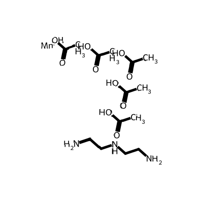 CC(=O)O.CC(=O)O.CC(=O)O.CC(=O)O.CC(=O)O.NCCNCCN.[Mn]